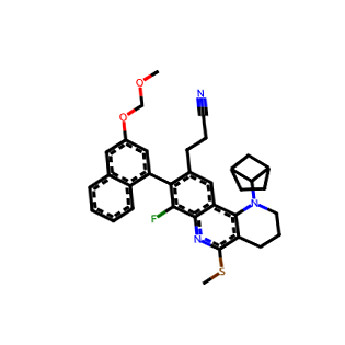 COCOc1cc(-c2c(CCC#N)cc3c4c(c(SC)nc3c2F)CCCN4C2C3CCC2C3)c2ccccc2c1